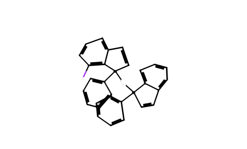 Ic1cccc2c1[C]([Zr+2][C]1(c3ccccc3)C=Cc3ccccc31)(c1ccccc1)C=C2.[Cl-].[Cl-]